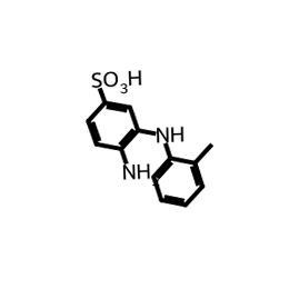 Cc1ccccc1Nc1cc(S(=O)(=O)O)ccc1N